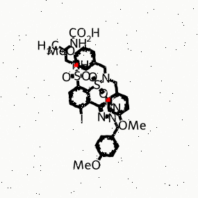 COc1ccc(CN(Cc2ccc(OC)cc2)S(=O)(=O)c2c(S(=O)(=O)NC[C@@H](C)NC(=O)O)ccc(I)c2-c2nnn(Cc3ccc(OC)cc3)n2)cc1